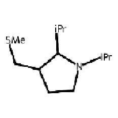 CSCC1CCN(C(C)C)C1C(C)C